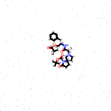 C[C@@H]1C[C@@H]([C@H](Cc2ccccc2)NC(=O)[C@H](C)N2CC[C@]3(CCC(=O)N3C(=O)OC(C)(C)C)C2)OC1=O